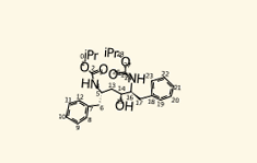 CC(C)OC(=O)N[C@@H](Cc1ccccc1)C[C@H](O)[C@H](Cc1ccccc1)NC(=O)OC(C)C